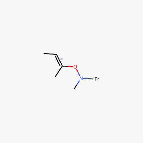 C/C=C(\C)ON(C)C(C)C